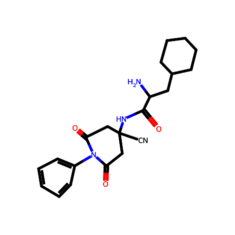 N#CC1(NC(=O)C(N)CC2CCCCC2)CC(=O)N(c2ccccc2)C(=O)C1